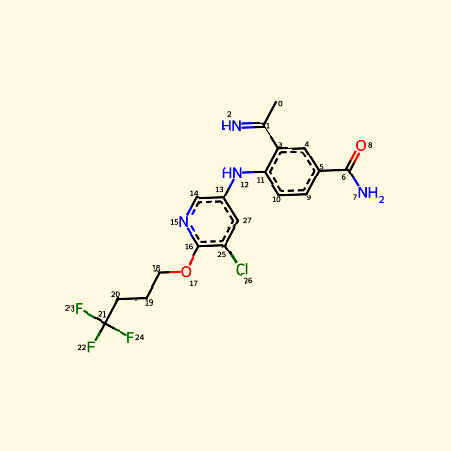 CC(=N)c1cc(C(N)=O)ccc1Nc1cnc(OCCCC(F)(F)F)c(Cl)c1